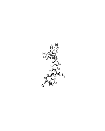 C=C(C(CCCN)CNc1ccc2c(c1)CC1CN(c3ccc(C#N)c4ncccc34)CC(C)N1C2)C(C)(C)N